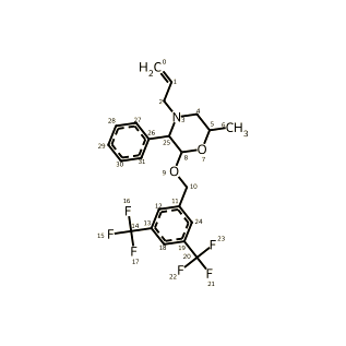 C=CCN1CC(C)OC(OCc2cc(C(F)(F)F)cc(C(F)(F)F)c2)C1c1ccccc1